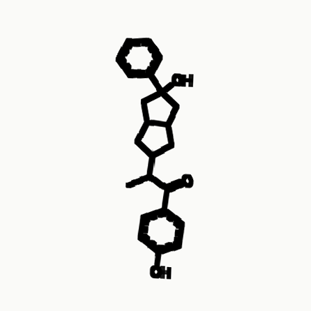 CC(C(=O)c1ccc(O)cc1)C1CC2CC(O)(c3ccccc3)CC2C1